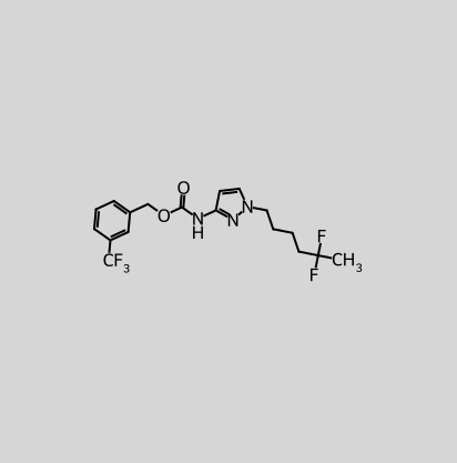 CC(F)(F)CCCCn1ccc(NC(=O)OCc2cccc(C(F)(F)F)c2)n1